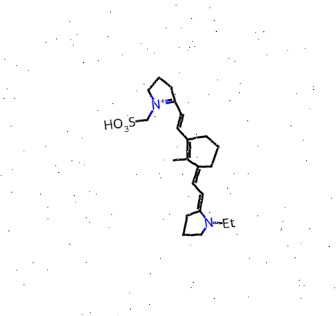 CCN1CCC/C1=C\C=C1/CCCC(/C=C/C2=[N+](CS(=O)(=O)O)CCC2)=C1C